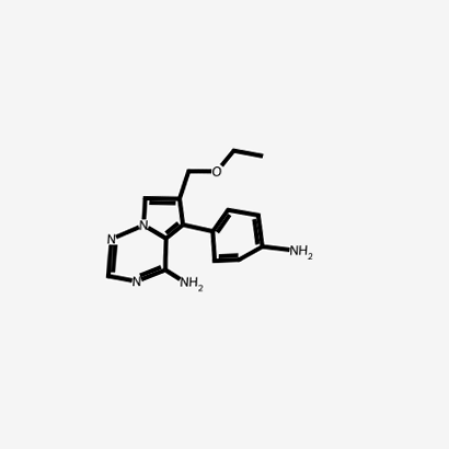 CCOCc1cn2ncnc(N)c2c1-c1ccc(N)cc1